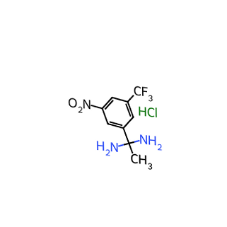 CC(N)(N)c1cc([N+](=O)[O-])cc(C(F)(F)F)c1.Cl